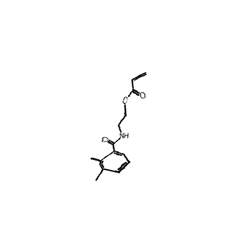 C=CC(=O)OCCNC(=O)c1cccc(C)c1C